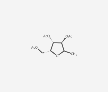 CC(=O)OC[C@H]1OC(C)[C@H](OC(C)=O)[C@H]1OC(C)=O